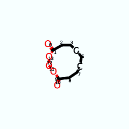 O=C1CCCCCCCC(=O)OOO1